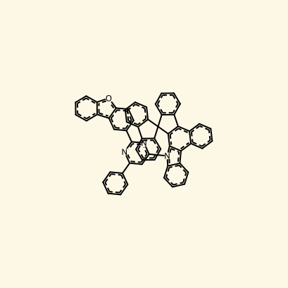 c1ccc(-c2cc(-n3c4ccccc4c4c5ccccc5c5c(c43)C3(c4ccccc4-c4ccccc43)c3ccccc3-5)nc(-c3ccc4oc5ccccc5c4c3)n2)cc1